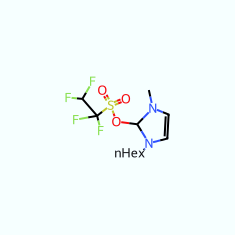 CCCCCCN1C=CN(C)C1OS(=O)(=O)C(F)(F)C(F)F